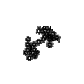 CC1(C)c2cc3ccccc3cc2N2c3cc4cc(-c5ccc(-c6ccc(N7B8c9cccc%10c9N(c9cc%11ccccc%11cc9C%109c%10ccccc%10-c%10ccccc%109)c9c8c(cc8ccccc98)-c8ccc(-c9ccccc9)cc87)cc6)cc5)ccc4c4c3B(c3cccc1c32)N(c1cccc2c1C(C)(C)c1ccccc1-2)c1ccc(-c2ccccc2)cc1-4